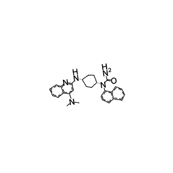 CN(C)c1cc(N[C@H]2CC[C@@H](N(C(N)=O)c3cccc4ccccc34)CC2)nc2ccccc12